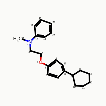 CN(CCOc1ccc(C2CCCCC2)cc1)c1ccccc1